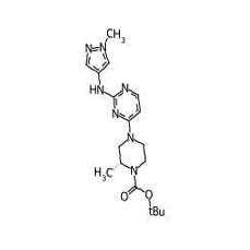 C[C@@H]1CN(c2ccnc(Nc3cnn(C)c3)n2)CCN1C(=O)OC(C)(C)C